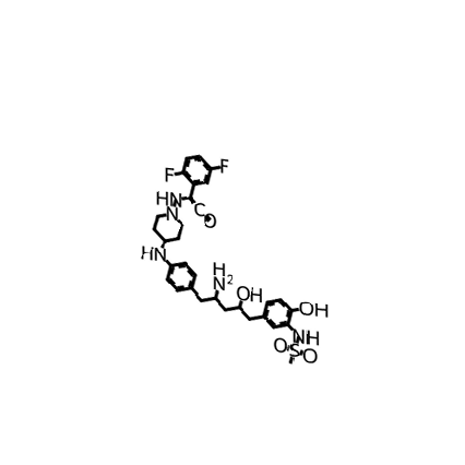 CS(=O)(=O)Nc1cc(CC(O)CC(N)Cc2ccc(NC3CCN(NC(=C=O)c4cc(F)ccc4F)CC3)cc2)ccc1O